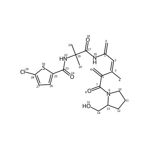 C=C(/C=C(/C)C(=C)C(=O)N1CCCC1CO)NC(=O)C(C)(C)NC(=O)c1ccc(Cl)s1